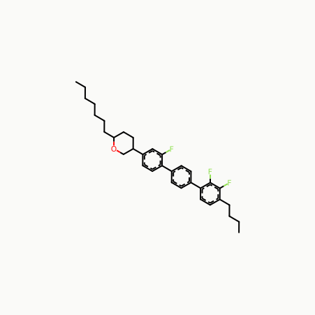 CCCCCCCC1CCC(c2ccc(-c3ccc(-c4ccc(CCCC)c(F)c4F)cc3)c(F)c2)CO1